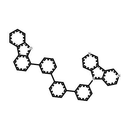 c1cc(-c2cccc(-c3cccc4c3oc3ccccc34)c2)cc(-c2cccc(-n3c4ccncc4c4cnccc43)c2)c1